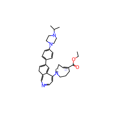 CCOC(=O)/C1=C\CCN(C2=CC=NC=C3CC=C(c4ccc(N5CCN(C(C)C)CC5)cc4)C=C32)CCC1